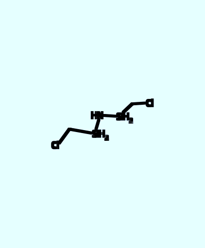 ClC[SiH2]N[SiH2]CCl